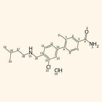 Cc1cc(C(N)=O)ccc1-c1ccc(CNCCC(C)C)c(Cl)c1.Cl